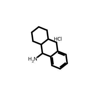 Cl.NC1c2ccccc2CC2CCCCC21